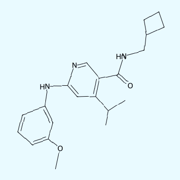 COc1cccc(Nc2cc(C(C)C)c(C(=O)NCC3CCC3)cn2)c1